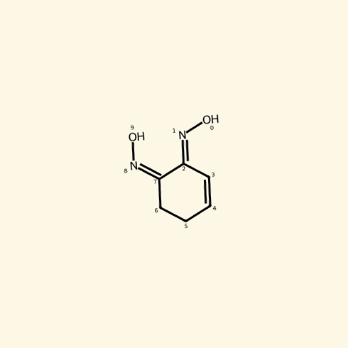 ON=C1C=CCCC1=NO